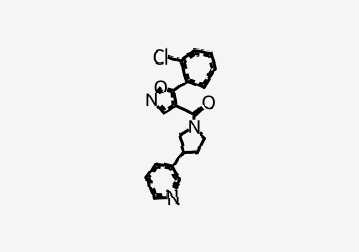 O=C(c1cnoc1-c1ccccc1Cl)N1CCC(c2cccnc2)C1